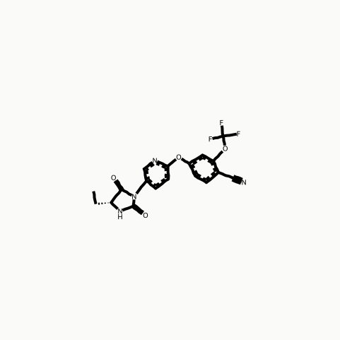 CC[C@H]1NC(=O)N(c2ccc(Oc3ccc(C#N)c(OC(F)(F)F)c3)nc2)C1=O